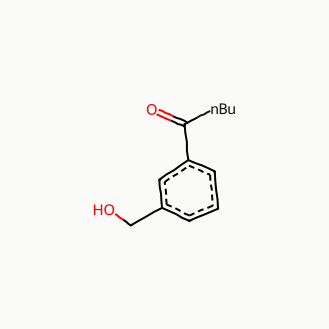 CCCCC(=O)c1cccc(CO)c1